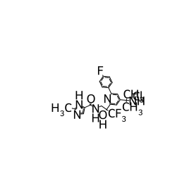 Cc1ncc(C(=O)NCC(O)(c2cc(C(C)(C)NCl)cc(-c3ccc(F)cc3)n2)C(F)(F)F)[nH]1